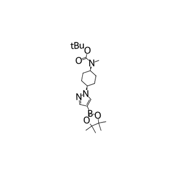 CN(C(=O)OC(C)(C)C)[C@H]1CC[C@@H](n2cc(B3OC(C)(C)C(C)(C)O3)cn2)CC1